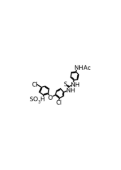 CC(=O)Nc1ccc(NC(=S)Nc2ccc(Oc3ccc(Cl)cc3S(=O)(=O)O)c(Cl)c2)cc1